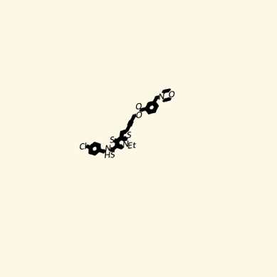 CCn1cc(C(=S)NCc2ccc(Cl)cc2)c(=S)c2cc(C#CCOC(=O)c3cccc(CN4CCOCC4)c3)sc21